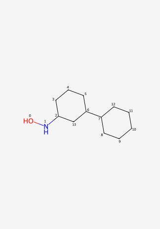 ONC1CCCC(C2CCCCC2)C1